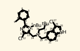 CCCCn1c(-c2ccccc2C)nc(Cl)c1CN(CCC(C)(C)C)Cc1ccc2[nH]cc(Cl)c2c1